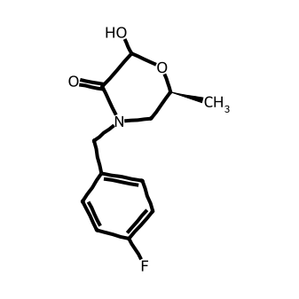 C[C@H]1CN(Cc2ccc(F)cc2)C(=O)C(O)O1